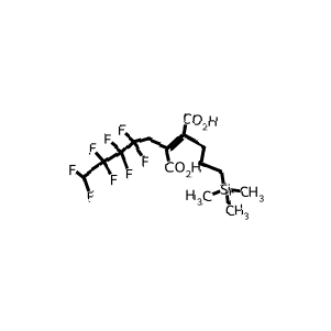 C[Si](C)(C)CCC/C(C(=O)O)=C(/CC(F)(F)C(F)(F)C(F)(F)C(F)F)C(=O)O